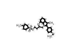 COc1ccc(-c2c(C)c3cccc4c3n2CC(CCOS(=O)(=O)c2ccc(C)cc2)O4)cc1